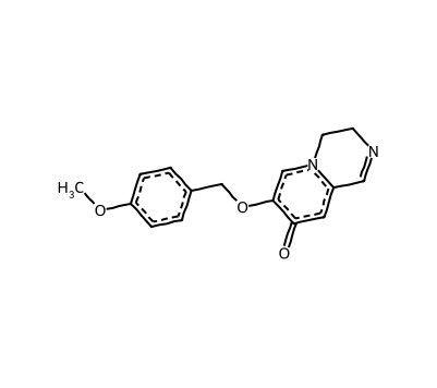 COc1ccc(COc2cn3c(cc2=O)C=NCC3)cc1